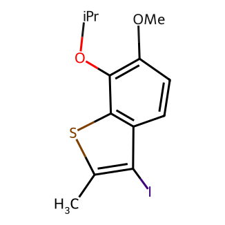 COc1ccc2c(I)c(C)sc2c1OC(C)C